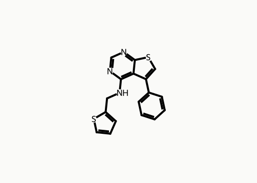 c1ccc(-c2csc3ncnc(NCc4cccs4)c23)cc1